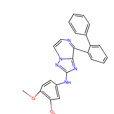 COc1ccc(Nc2nc3c(-c4ccccc4-c4ccccc4)nccn3n2)cc1OC